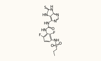 CCCS(=O)(=O)Nc1ccc(F)c(NC(=O)Nc2ncnc3[nH]c(=S)[nH]c23)c1F